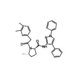 Cc1ccc(CC(=O)N2[C@@H](C(=O)Nc3nn(-c4ccccc4)cc3-c3ccccc3)CC[C@@H]2C)cc1C